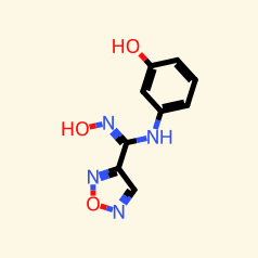 ON=C(Nc1cccc(O)c1)c1cnon1